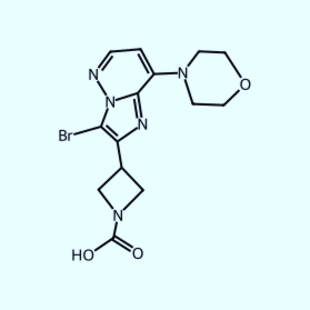 O=C(O)N1CC(c2nc3c(N4CCOCC4)ccnn3c2Br)C1